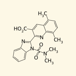 Cc1ccc(C)c2nc(-c3nc4ccccc4n3S(=O)(=O)N(C)C)c(C(=O)O)cc12